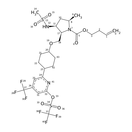 C=CCCOC(=O)N1[C@H](C)C[C@H](NS(C)(=O)=O)[C@@H]1COC1CCC(c2cc(C(F)(F)F)cc(OS(=O)(=O)C(F)(F)F)n2)CC1